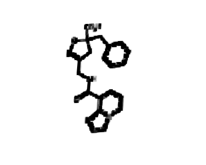 O=C(NCC1=NOC(Cc2ccccc2)(C(=O)O)C1)c1cccn2ccnc12